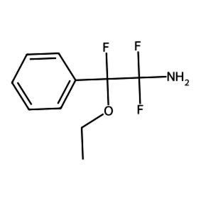 CCOC(F)(c1ccccc1)C(N)(F)F